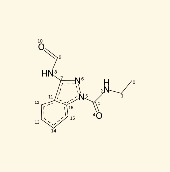 CCNC(=O)n1nc(NC=O)c2ccccc21